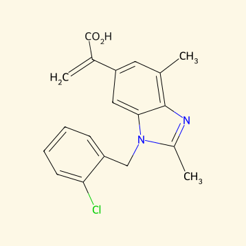 C=C(C(=O)O)c1cc(C)c2nc(C)n(Cc3ccccc3Cl)c2c1